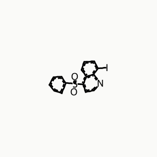 O=S(=O)(c1ccccc1)c1ccnc2c(I)cccc12